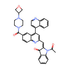 CC(=O)N1C(=Cc2cc(-c3ccnc4ccccc34)c3cc(C(=O)N4CCN(C5COC5)CC4)ccc3n2)C(=O)c2ccccc21